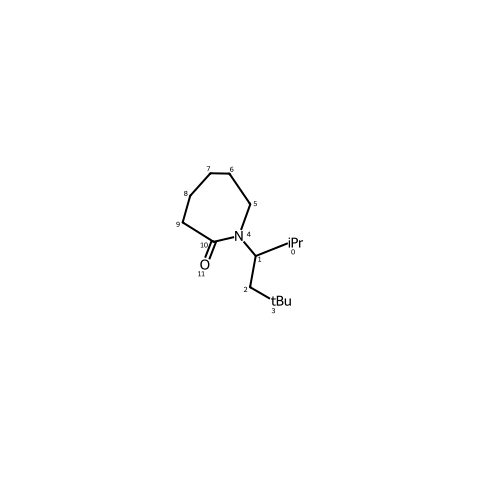 CC(C)C(CC(C)(C)C)N1CCCCCC1=O